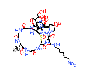 CCC(C)C1NC(=O)CNC(=O)C2Cc3c([nH]c4cc(O)ccc34)[S+]([O-])CC(NC(=O)CNC1=O)C(=O)NC(CC(=O)NCCCCCCN)C(=O)N1CC(O)CC1C(=O)NC(C(C)C(O)CO)C(=O)N2